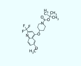 COc1ccc2nc(C(F)(F)F)cc(OC3CCN(C(=O)OC(C)(C)C)CC3)c2c1